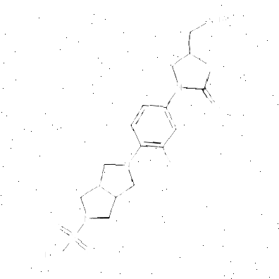 CC(=O)NCC1CN(c2ccc(N3CC4CN(S(C)(=O)=O)CC4C3)c(F)c2)C(=O)O1